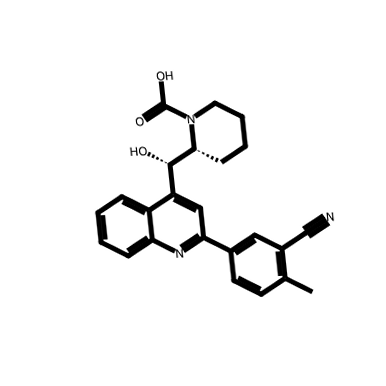 Cc1ccc(-c2cc([C@H](O)[C@H]3CCCCN3C(=O)O)c3ccccc3n2)cc1C#N